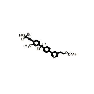 CCC(O)(C#Cc1ccc(C(CC)(CC)c2ccc(-c3cncc(CCOOC)c3)cc2)cc1C)CC